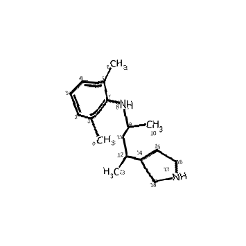 Cc1cccc(C)c1NC(C)CC(C)C1CCNC1